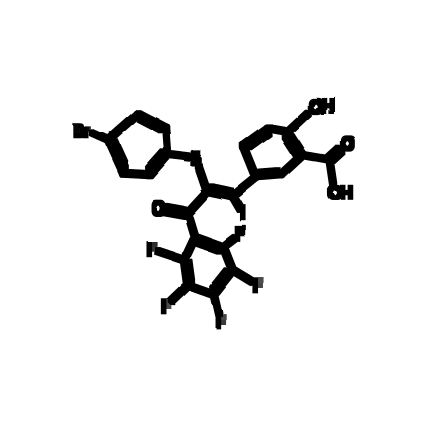 O=C(O)c1cc(C(I)=C(Sc2ccc(Br)cc2)C(=O)c2c(F)c(F)c(F)c(F)c2F)ccc1O